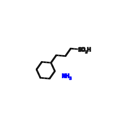 N.O=S(=O)(O)CCCC1CCCCC1